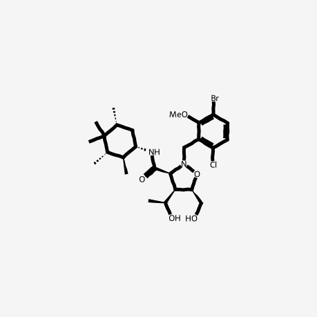 COc1c(Br)ccc(Cl)c1CN1O[C@@H](CO)[C@@H]([C@H](C)O)[C@H]1C(=O)N[C@H]1C[C@@H](C)C(C)(C)[C@@H](C)[C@@H]1C